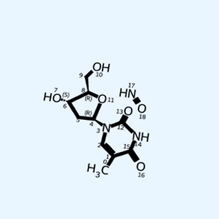 Cc1cn([C@H]2C[C@H](O)[C@@H](CO)O2)c(=O)[nH]c1=O.N=O